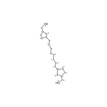 OCC1CSC(CSCCCCSCC2SCC(CO)S2)S1